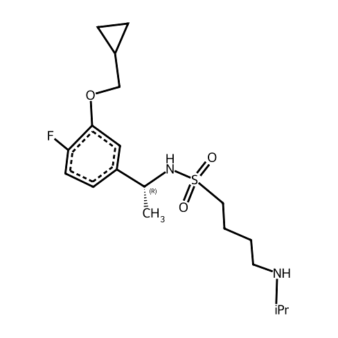 CC(C)NCCCCS(=O)(=O)N[C@H](C)c1ccc(F)c(OCC2CC2)c1